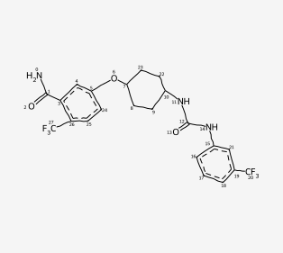 NC(=O)c1cc(OC2CCC(NC(=O)Nc3cccc(C(F)(F)F)c3)CC2)ccc1C(F)(F)F